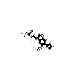 COc1cc2c(CCNC(C)=O)coc2cc1-c1ccco1